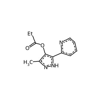 CCC(=O)Oc1c(C)n[nH]c1-c1ccccn1